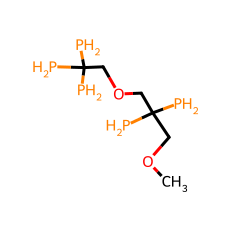 COCC(P)(P)COCC(P)(P)P